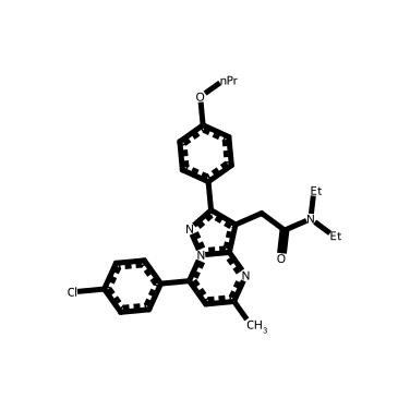 CCCOc1ccc(-c2nn3c(-c4ccc(Cl)cc4)cc(C)nc3c2CC(=O)N(CC)CC)cc1